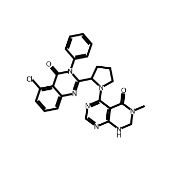 CN1CNc2ncnc(N3CCCC3c3nc4cccc(Cl)c4c(=O)n3-c3ccccc3)c2C1=O